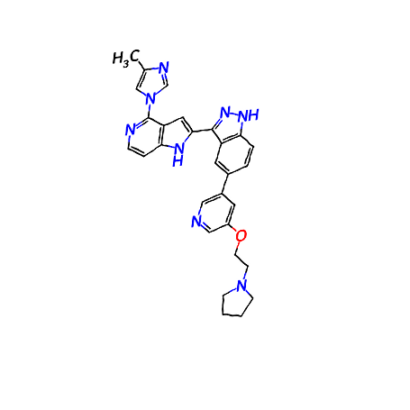 Cc1cn(-c2nccc3[nH]c(-c4n[nH]c5ccc(-c6cncc(OCCN7CCCC7)c6)cc45)cc23)cn1